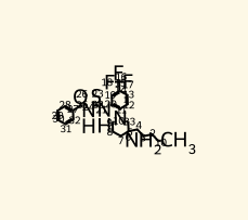 CCCCC[C@@]1(N)CCCN(c2ccc(C(F)(F)F)cc2NC(=S)NC(=O)c2ccccc2)C1